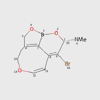 CN[C@H]1OB2OCC3=C2C(=C1Br)C=COC3